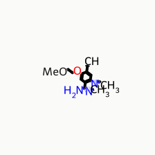 C#Cc1cc(/N=C/C)c(/C(N)=N\C)cc1OCCOC